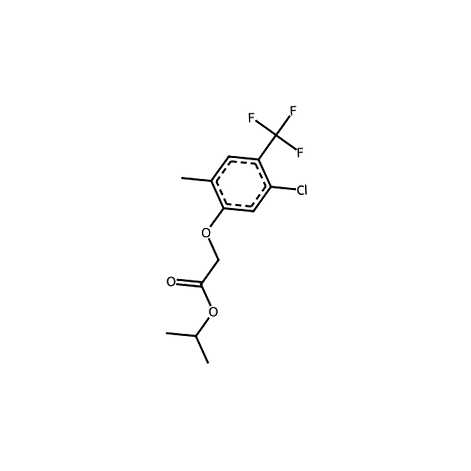 Cc1cc(C(F)(F)F)c(Cl)cc1OCC(=O)OC(C)C